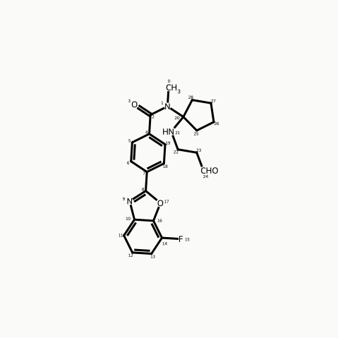 CN(C(=O)c1ccc(-c2nc3cccc(F)c3o2)cc1)C1(NCCC=O)CCCC1